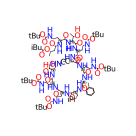 CCC(C)C(=O)OC(C)CC(=O)N[C@@H](CCNC(=O)OC(C)(C)C)C(=O)N[C@H](C(=O)N[C@@H](CCNC(=O)OC(C)(C)C)C(=O)N[C@H]1CCNC(=O)[C@H](C(C)O)NC(=O)[C@H](CCNC(=O)OC(C)(C)C)NC(=O)[C@H](CCNC(=O)OC(C)(C)C)NC(=O)[C@H](CC(C)C)NC(=O)[C@@H](Cc2ccccc2)NC(=O)[C@H](CCNC(=O)OC(C)(C)C)NC1=O)C(C)O